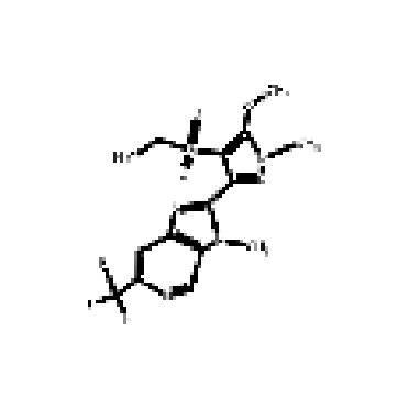 CCS(=O)(=O)c1c(-c2nc3cc(C(F)(F)F)ncc3n2C)nn(C)c1OC